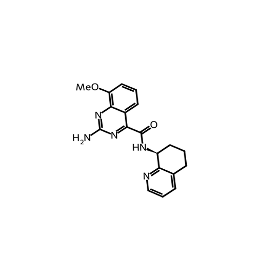 COc1cccc2c(C(=O)N[C@H]3CCCc4cccnc43)nc(N)nc12